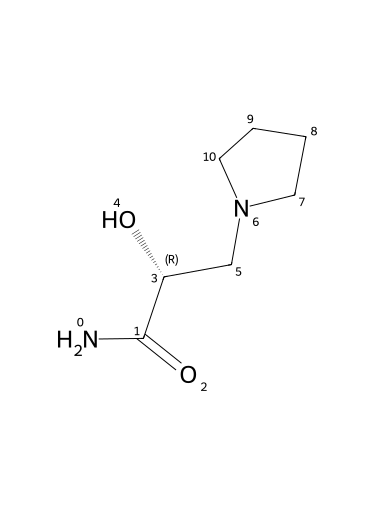 NC(=O)[C@H](O)CN1CCCC1